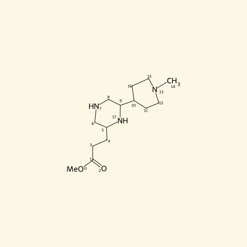 COC(=O)CCC1CNCC(C2CCN(C)CC2)N1